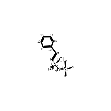 C[Si](C)(C)N=S(=O)(Cl)/C=C/c1ccccc1